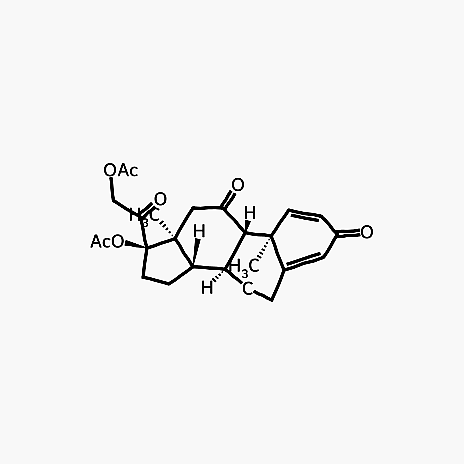 CC(=O)OCC(=O)[C@@]1(OC(C)=O)CC[C@H]2[C@@H]3CCC4=CC(=O)C=C[C@]4(C)[C@H]3C(=O)C[C@@]21C